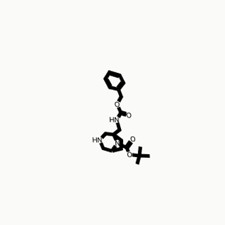 CC(C)(C)OC(=O)N1C2CCC1(CNC(=O)OCc1ccccc1)CNC2